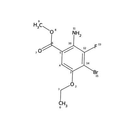 CCOc1cc(C(=O)OC)c(N)c(F)c1Br